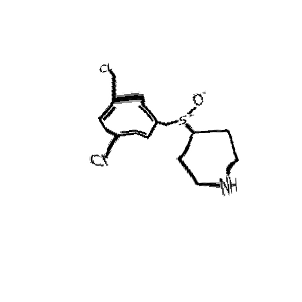 [O-][S+](c1cc(Cl)cc(Cl)c1)C1CCNCC1